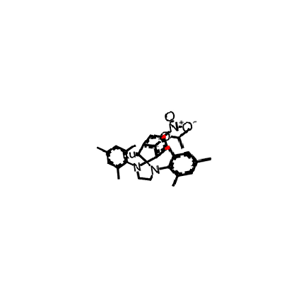 Cc1cc(C)c(N2CCN(c3c(C)cc(C)cc3C)C23[C](=[Ru])c2cc([N+](=O)[O-])cc3c2OC(C)C)c(C)c1